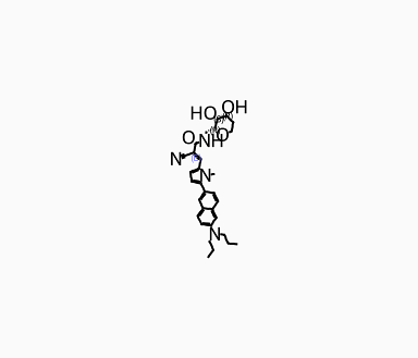 CCCN(CCC)c1ccc2cc(-c3ccc(/C=C(\C#N)C(=O)NC[C@H]4OCC[C@@H](O)[C@@H]4O)n3C)ccc2c1